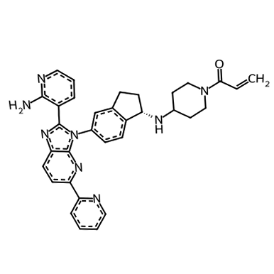 C=CC(=O)N1CCC(N[C@H]2CCc3cc(-n4c(-c5cccnc5N)nc5ccc(-c6ccccn6)nc54)ccc32)CC1